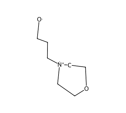 [O]CCC[N+]1CCOCC1